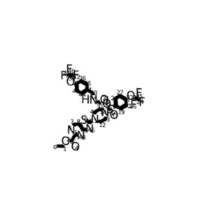 CCOC(=O)c1ncc2sc(N3CCN(S(=O)(=O)c4ccc(OC(F)(F)F)cc4)[C@@H](C(=O)NCc4ccc(OC(F)(F)F)cc4)C3)nc2n1